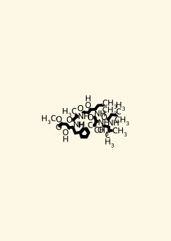 COC(=O)CC(O)C(Cc1ccccc1)NC(=O)C(C)NC(=O)CC(O)C(CC(C)C)NC(=O)C(NC(=O)C(NC(=O)CC(C)C)C(C)C)C(C)C